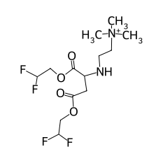 C[N+](C)(C)CCNC(CC(=O)OCC(F)F)C(=O)OCC(F)F